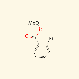 CCc1ccccc1C(=O)OOC